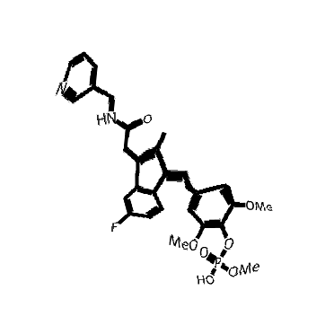 COc1cc(/C=C2/C(C)=C(CC(=O)NCc3cccnc3)c3cc(F)ccc32)cc(OC)c1OP(=O)(O)OC